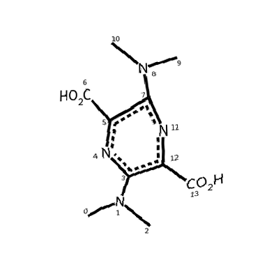 CN(C)c1nc(C(=O)O)c(N(C)C)nc1C(=O)O